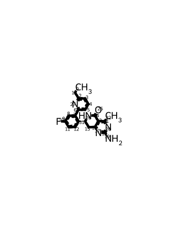 CCc1cccc(-c2cc(F)ccc2[C@H]2Cc3nc(N)nc(C)c3C(=O)N2)n1